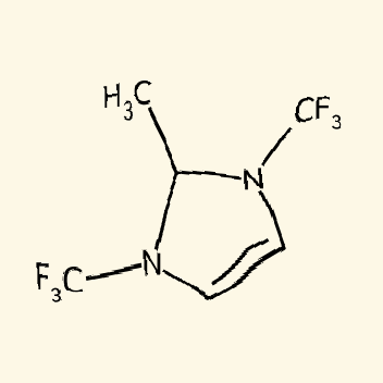 CC1N(C(F)(F)F)C=CN1C(F)(F)F